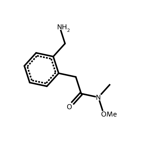 CON(C)C(=O)Cc1ccccc1CN